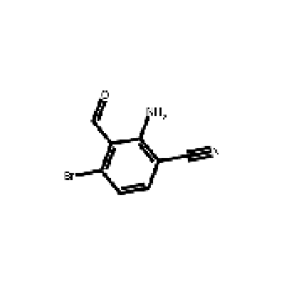 N#Cc1ccc(Br)c([C]=O)c1N